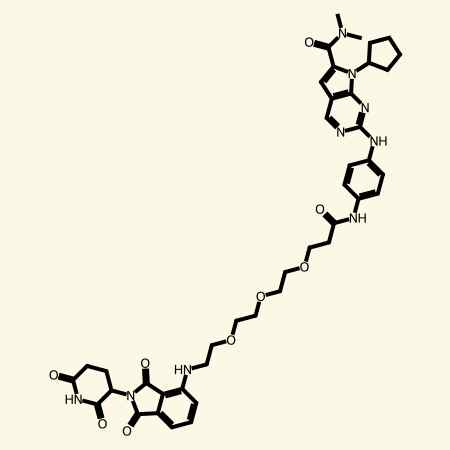 CN(C)C(=O)c1cc2cnc(Nc3ccc(NC(=O)CCOCCOCCOCCNc4cccc5c4C(=O)N(C4CCC(=O)NC4=O)C5=O)cc3)nc2n1C1CCCC1